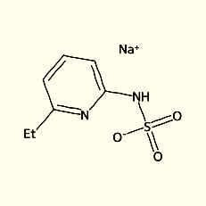 CCc1cccc(NS(=O)(=O)[O-])n1.[Na+]